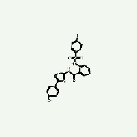 CC(C)c1ccc(-c2csc(NC(=O)c3ccccc3NS(=O)(=O)c3ccc(F)cc3)n2)cc1